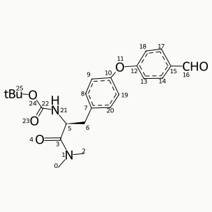 CN(C)C(=O)[C@H](Cc1ccc(Oc2ccc(C=O)cc2)cc1)NC(=O)OC(C)(C)C